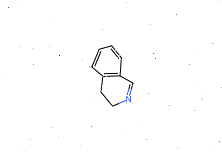 [c]1cccc2c1CCN=C2